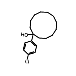 OC1(c2ccc(Cl)cc2)CCCCCCCCCCC1